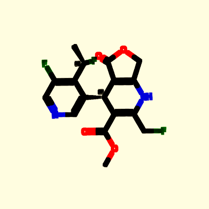 COC(=O)C1=C(CF)NC2=C(C(=O)OC2)[C@H]1c1cncc(F)c1[C@@H](C)F